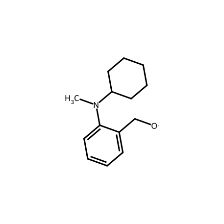 CN(c1ccccc1C[O])C1CCCCC1